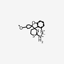 [C-]#[N+]c1cccc2c1C1(CCSC(N)=N1)C1(CCC(OC)CC1)O2